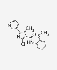 C=C1C(c2cccnc2)=NC(Cl)=C1C(=O)Nc1ccccc1SC